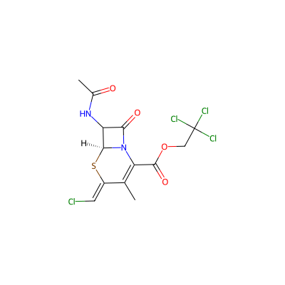 CC(=O)NC1C(=O)N2C(C(=O)OCC(Cl)(Cl)Cl)=C(C)C(=CCl)S[C@@H]12